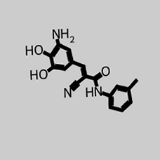 Cc1cccc(NC(=O)/C(C#N)=C/c2cc(N)c(O)c(O)c2)c1